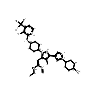 C=N/C(=C\c1c(C)c(-c2cnn(C3CCC(O)CC3)c2)nn1C1CCC(Oc2nccc(C(F)(F)F)c2F)CC1)NCC